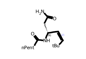 CCCCCC(=O)N[C@@H](/C=C\C(C)(C)C)CC(N)=O